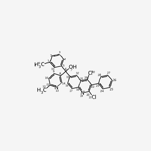 Cc1cccc(C(O)(c2ccc(C)nc2)c2ccc3nc(Cl)c(-c4ccccc4)c(Cl)c3c2)c1